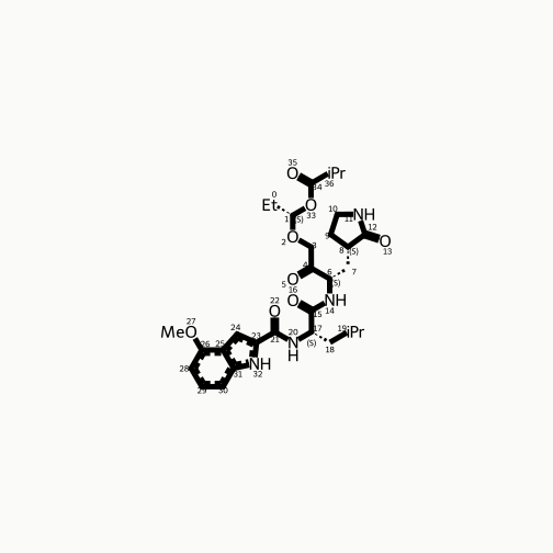 CC[C@@H](OCC(=O)[C@H](C[C@@H]1CCNC1=O)NC(=O)[C@H](CC(C)C)NC(=O)c1cc2c(OC)cccc2[nH]1)OC(=O)C(C)C